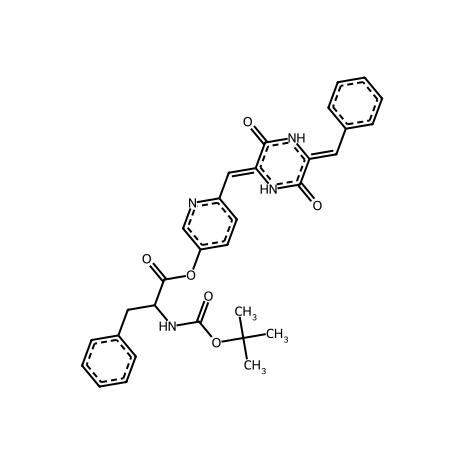 CC(C)(C)OC(=O)NC(Cc1ccccc1)C(=O)Oc1ccc(C=c2[nH]c(=O)/c(=C/c3ccccc3)[nH]c2=O)nc1